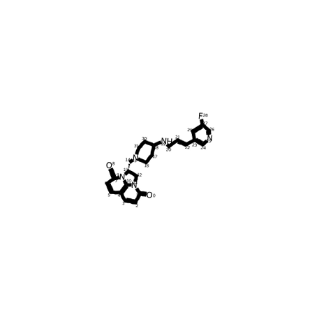 O=c1ccc2ccc(=O)n3c2n1C[C@H]3CN1CCC(NC/C=C/c2cncc(F)c2)CC1